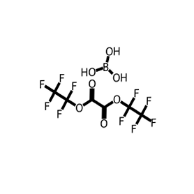 O=C(OC(F)(F)C(F)(F)F)C(=O)OC(F)(F)C(F)(F)F.OB(O)O